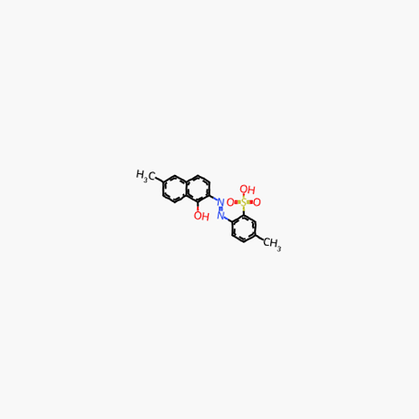 Cc1ccc(N=Nc2ccc3cc(C)ccc3c2O)c(S(=O)(=O)O)c1